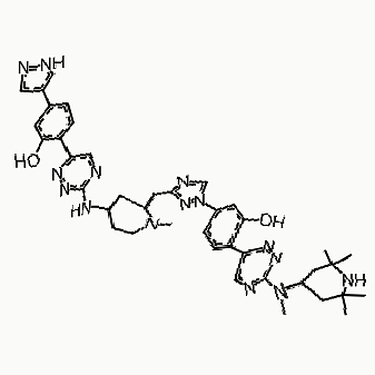 CN1CCC(Nc2ncc(-c3ccc(-c4cn[nH]c4)cc3O)nn2)CC1Cc1ncn(-c2ccc(-c3cnc(N(C)C4CC(C)(C)NC(C)(C)C4)nn3)c(O)c2)n1